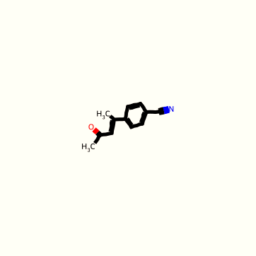 CC(=O)C=C(C)c1ccc(C#N)cc1